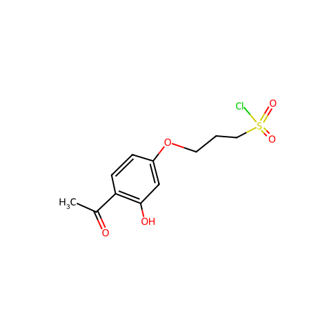 CC(=O)c1ccc(OCCCS(=O)(=O)Cl)cc1O